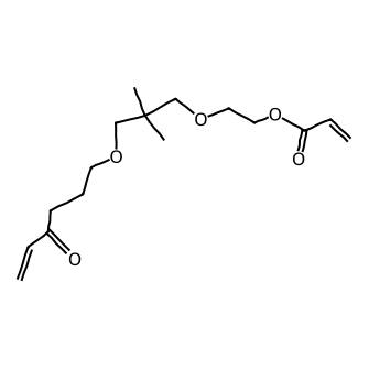 C=CC(=O)CCCOCC(C)(C)COCCOC(=O)C=C